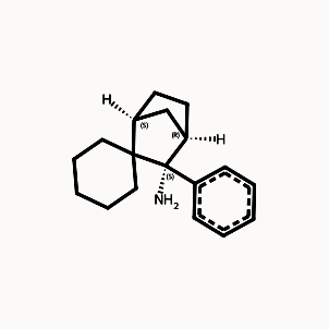 N[C@@]1(c2ccccc2)[C@@H]2CC[C@@H](C2)C12CCCCC2